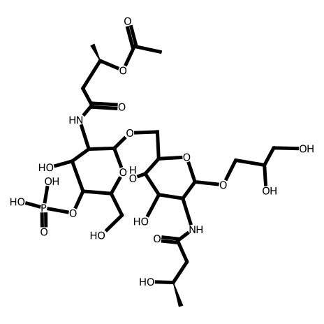 CC(=O)O[C@H](C)CC(=O)NC1C(OCC2OC(OCC(O)CO)C(NC(=O)C[C@@H](C)O)C(O)C2O)OC(CO)C(OP(=O)(O)O)C1O